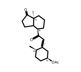 CC(=O)O[C@H]1CC[C@@H](C)/C(=C\C(=O)[C@@H]2CCC[C@]3(C)C(=O)CCC23)C1